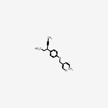 CC#CC(CC(=O)O)c1ccc(OCC(/C=C\C)=C/CC)cc1